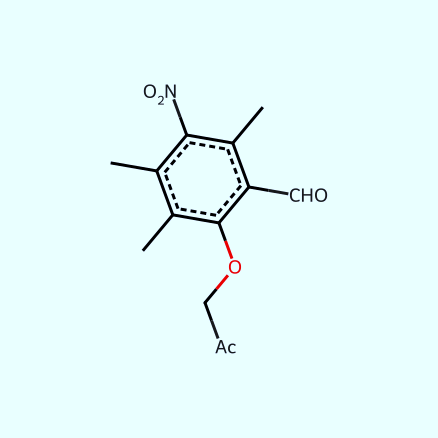 CC(=O)COc1c(C)c(C)c([N+](=O)[O-])c(C)c1C=O